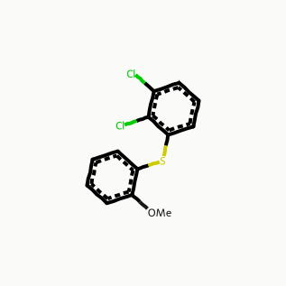 COc1ccccc1Sc1cc[c]c(Cl)c1Cl